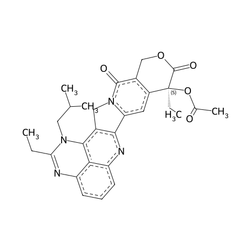 CCC1=Nc2cccc3nc4c(c(c23)N1CC(C)C)Cn1c-4cc2c(c1=O)COC(=O)[C@@]2(CC)OC(C)=O